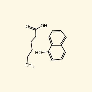 CCCCCC(=O)O.Oc1cccc2ccccc12